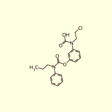 CCCN(C(=O)Oc1cccc(N(CCCl)C(=O)O)c1)c1ccccc1